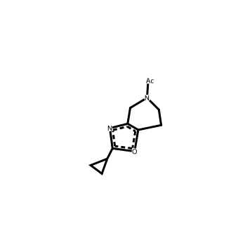 CC(=O)N1CCc2oc(C3CC3)nc2C1